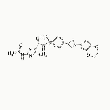 CC(=O)Nc1nc(C)c(C(=O)N[C@@H](C)c2ccc(C3CN(c4ccc5c(c4)OCCO5)C3)cc2)s1